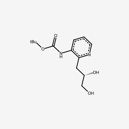 CC(C)(C)OC(=O)Nc1cccnc1C[C@H](O)CO